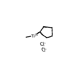 [CH3][Ti+2][CH]1CCCC1.[Cl-].[Cl-]